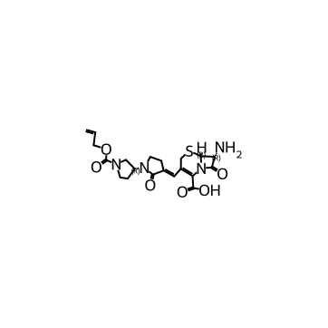 C=CCOC(=O)N1CC[C@@H](N2CCC(=CC3=C(C(=O)O)N4C(=O)[C@@H](N)[C@H]4SC3)C2=O)C1